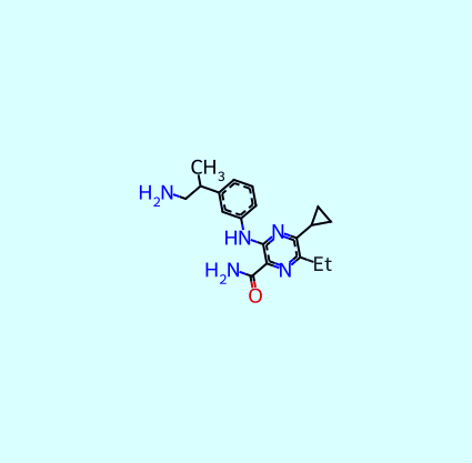 CCc1nc(C(N)=O)c(Nc2cccc(C(C)CN)c2)nc1C1CC1